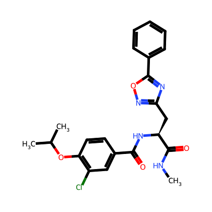 CNC(=O)[C@H](Cc1noc(-c2ccccc2)n1)NC(=O)c1ccc(OC(C)C)c(Cl)c1